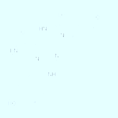 COc1cccc(-n2c(=O)[nH]c3c(C(N)=O)nc(Nc4ccc(O)cc4)nc32)c1